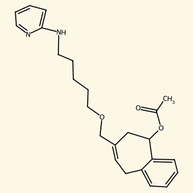 CC(=O)OC1CC(COCCCCCNc2ccccn2)=CCc2ccccc21